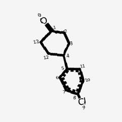 O=C1[CH]CC(c2ccc(Cl)cc2)CC1